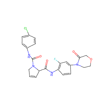 O=C(Nc1ccc(N2CCOCC2=O)cc1F)C1C=CCN1C(=O)Nc1ccc(Cl)cc1